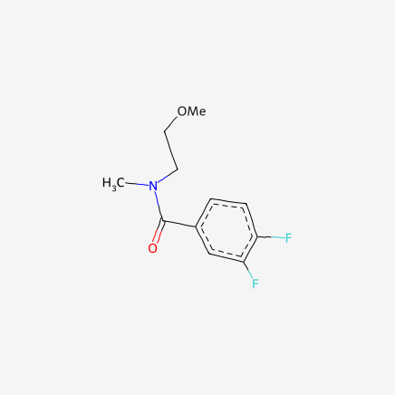 COCCN(C)C(=O)c1ccc(F)c(F)c1